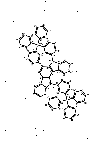 C1=CC2c3ccccc3N(c3cccc([Si](c4ccccc4)(c4ccccc4)c4ccccc4)c3)C2c2c1n(-c1cccc(S(c3ccccc3)(c3ccccc3)c3ccccc3)c1)c1ccccc21